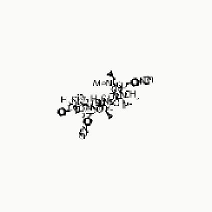 CN[C@@H](CC1CC1)C(=O)O[C@H](CCc1ccc(N2CCOCC2)cc1)C(=O)N(C)[C@@H](CC(C)C)C(=O)O[C@H](C)C(=O)N(C)[C@@H](CCC1CC1)C(=O)O[C@H](CCc1ccc(N2CCOCC2)cc1)C(=O)N(C)[C@@H](CC(C)C)C(=O)O[C@H](C)C(=O)OCc1ccccc1